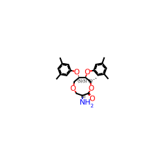 Cc1cc(C)cc(O[C@H]2[C@H](C)OC(=O)[C@@H](N)COC[C@@H]2Oc2cc(C)cc(C)c2)c1